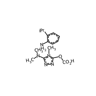 CC(C)c1ccccc1N.CN(C)c1nnc(OC(=O)O)n1C